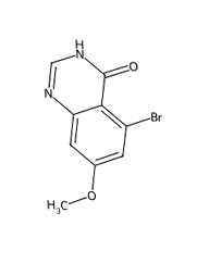 COc1cc(Br)c2c(=O)[nH]cnc2c1